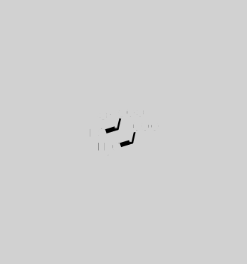 C=CC(=O)[O-].C=CC(=O)[O-].[O+2]